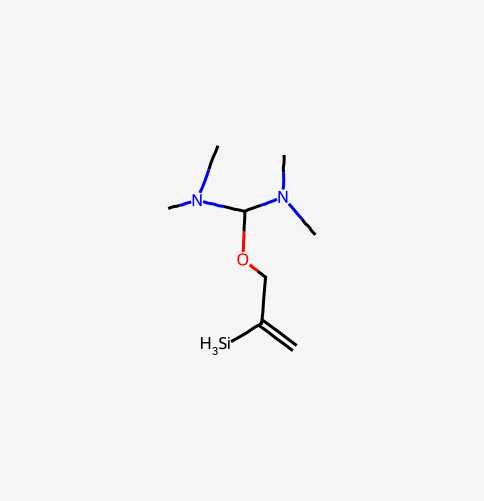 C=C([SiH3])COC(N(C)C)N(C)C